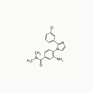 CN(C)C(=O)c1ccc(-n2ccnc2-c2cccc(Cl)c2)c(N)c1